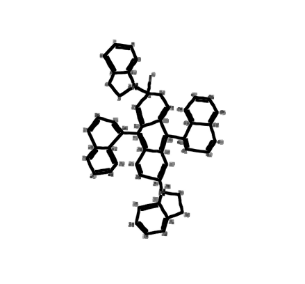 IC1(N2CCc3ccccc32)C=c2c(-c3cccc4ccccc34)c3ccc(N4CCc5ccccc54)cc3c(-c3cccc4ccccc34)c2=CC1